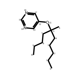 CCCCCC(C)(CCCC)Oc1cncnc1